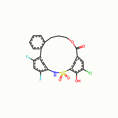 O=C1OCCCc2ccccc2-c2cc(c(F)cc2F)NS(=O)(=O)c2cc1cc(Cl)c2O